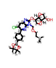 C[SiH](C)CCOCn1c(O[C@@H]2CO[C@H]3[C@@H]2OC[C@H]3O)nc2cc(Cl)c(-c3ccc(B4OC(C)(C)C(C)(C)O4)cc3)nc21